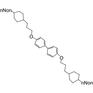 CCCCCCCCCC1CCC(CCCOc2ccc(-c3ccc(OCCCC4CCC(CCCCCCCCC)CC4)cc3)cc2)CC1